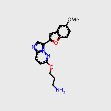 COc1ccc2oc(-c3cnc4ccc(OCCCN)nn34)cc2c1